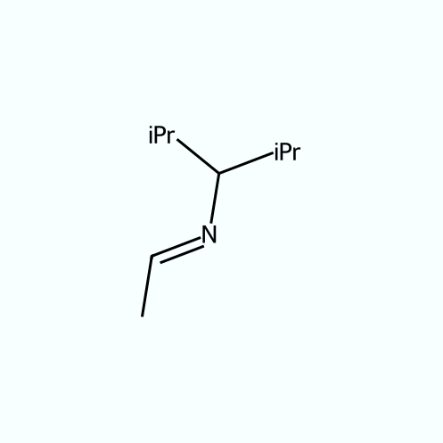 C/C=N/C(C(C)C)C(C)C